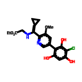 CCOC(=O)CNC(=C1CC1)c1ncc(-c2c(O)cc(O)c(Cl)c2O)cc1OC